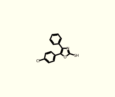 Sc1nc(-c2ccccc2)c(-c2ccc(Cl)cc2)o1